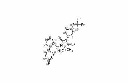 CC1(C)C(=O)N(c2ccc(SC(F)(F)F)cc2)C(=O)N1Cc1ccncc1-c1ccc(F)cc1